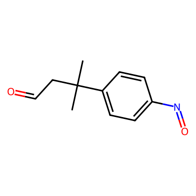 CC(C)(CC=O)c1ccc(N=O)cc1